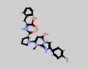 Cn1c(N2CCC[C@H]2C(=O)N[C@@H](Cc2ccccc2)C(=O)O)cc(=O)n2cc(-c3ccc(Cl)cc3)nc12